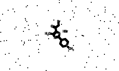 Br.Cc1nc(C2CCN(C)CC2)sc1C(=O)CBr